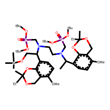 CCC1(C)OCc2c(OC)ccc(C(C)N(CCN(CP(=O)(OC(C)(C)C)OC(C)(C)C)C(CO[Si](C)(C)C)c3ccc(OC)c4c3OC(C)(CC)OC4)CP(=O)(OC(C)(C)C)OC(C)(C)C)c2O1